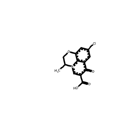 CC1COc2cc(Cl)cc3c(=O)c(C(=O)O)cn1c23